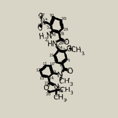 COc1cc(C(=O)N(C)c2ccccc2C2=NC(C)(C)CO2)ccc1NC(=O)c1cccc([N+](=O)[O-])c1N